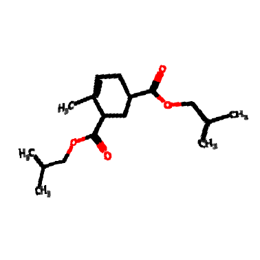 CC1=CCC(C(=O)OCC(C)C)CC1C(=O)OCC(C)C